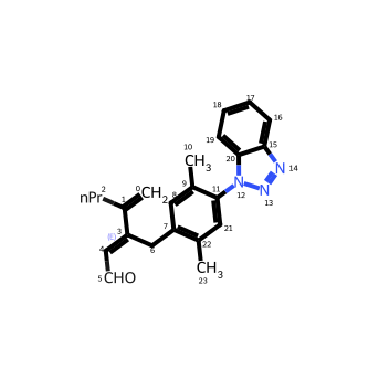 C=C(CCC)/C(=C/C=O)Cc1cc(C)c(-n2nnc3ccccc32)cc1C